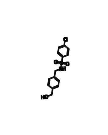 O=S(=O)(NCc1ccc(CO)cc1)c1ccc(Cl)cc1